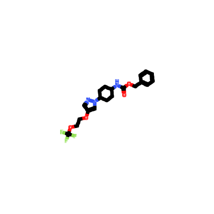 O=C(NC1CCC(n2cc(OCCOC(F)(F)F)cn2)CC1)OCc1ccccc1